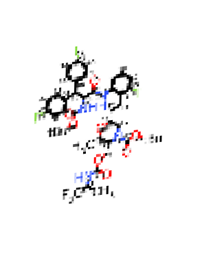 CC(NC(=O)OC[C@@H]1[C@H](C)O[C@H](CCc2c(F)cccc2NC(=O)C(NC(=O)OC(C)(C)C)C(c2ccc(F)cc2)c2ccc(F)cc2)CN1C(=O)OC(C)(C)C)C(F)(F)F